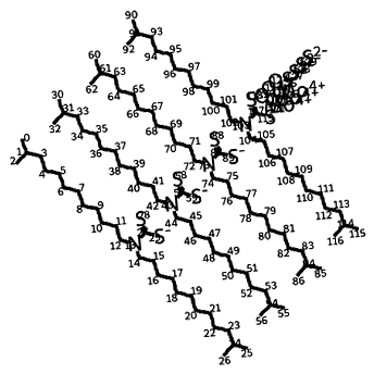 CC(C)CCCCCCCCCCN(CCCCCCCCCCC(C)C)C(=S)[S-].CC(C)CCCCCCCCCCN(CCCCCCCCCCC(C)C)C(=S)[S-].CC(C)CCCCCCCCCCN(CCCCCCCCCCC(C)C)C(=S)[S-].CC(C)CCCCCCCCCCN(CCCCCCCCCCC(C)C)C(=S)[S-].[O]=[Mo+4].[O]=[Mo+4].[O]=[Mo+4].[S-2].[S-2].[S-2].[S-2]